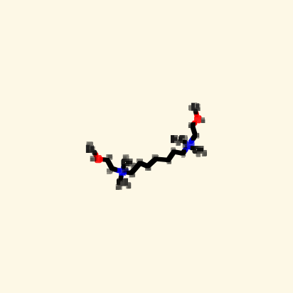 CCOCC[N+](C)(C)CCCCCCC[N+](C)(C)CCOCC